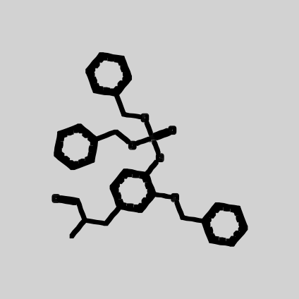 CC(C=O)Cc1ccc(OP(=O)(OCc2ccccc2)OCc2ccccc2)c(OCc2ccccc2)c1